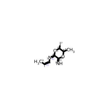 C/C=C\N=C1\OC(I)C(C)OC1=N